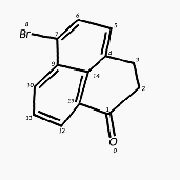 O=C1CCc2ccc(Br)c3cccc1c23